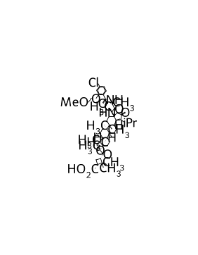 COCCOc1cc(Cl)ccc1C(=O)NC(C)(C)C(=O)N[C@@]12CC[C@]3(C)[C@H](CC[C@@H]4[C@@]5(C)CC[C@H](OC(=O)[C@H]6C[C@@H](C(=O)O)C6(C)C)C(C)(C)[C@@H]5CC[C@]43C)C1=C(C(C)C)C(=O)C2